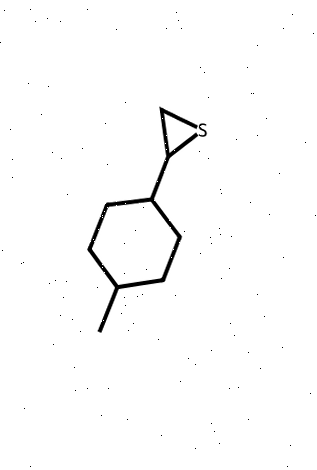 CC1CCC(C2CS2)CC1